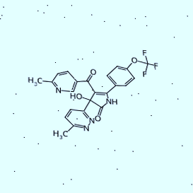 Cc1ccc(C(=O)C2=C(c3ccc(OC(F)(F)F)cc3)NC(=O)C2(O)c2ccc(C)nn2)cn1